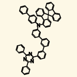 c1ccc(-c2ccc(N(c3cccc(-c4cccc(-c5cccc(-c6nc(-c7ccccc7)nc(-c7ccccc7)n6)c5)c4)c3)c3cccc4c3-c3ccccc3C43c4ccccc4-c4ccccc43)cc2)cc1